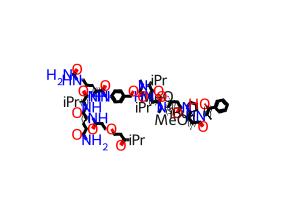 CC[C@H](C)[C@@H]([C@@H](CC(=O)N1CCC[C@H]1[C@H](OC)[C@@H](C)C(=O)N[C@H](C)[C@@H](O)c1ccccc1)OC)N(C)C(=O)[C@@H](NC(=O)C(C(C)C)N(C)C(=O)OCc1ccc(NC(=O)[C@H](CCCNC(N)=O)NC(=O)[C@@H](NC(=O)[C@H](CCC(N)=O)NC(=O)CCOCCC(=O)C(C)C)C(C)C)cc1)C(C)C